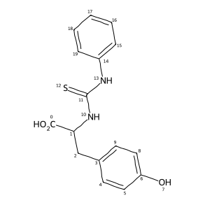 O=C(O)C(Cc1ccc(O)cc1)NC(=S)Nc1ccccc1